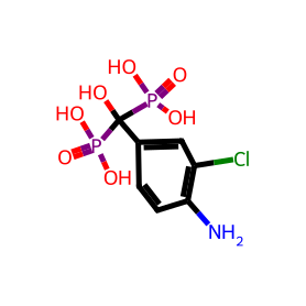 Nc1ccc(C(O)(P(=O)(O)O)P(=O)(O)O)cc1Cl